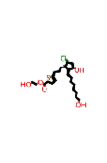 O=C(OCCO)C1CC=C(CCC[C@H]2C(Cl)C[C@@H](O)C2CCCCCCCCO)S1